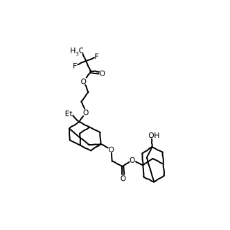 CCC1(OCCOC(=O)C(C)(F)F)C2CC3CC1CC(OCC(=O)OC14CC5CC(CC(O)(C5)C1)C4)(C3)C2